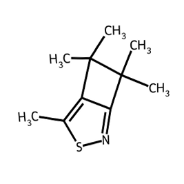 Cc1snc2c1C(C)(C)C2(C)C